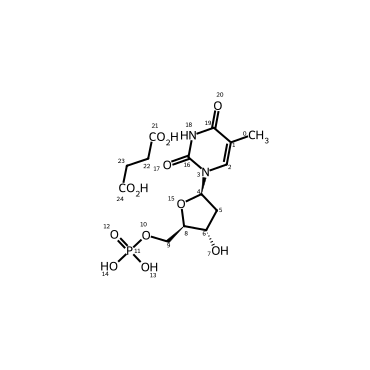 Cc1cn([C@H]2C[C@H](O)[C@@H](COP(=O)(O)O)O2)c(=O)[nH]c1=O.O=C(O)CCC(=O)O